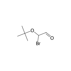 CC(C)(C)OC(Br)C=O